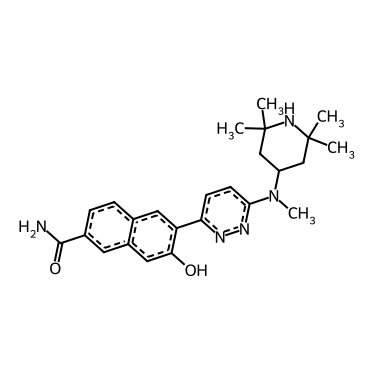 CN(c1ccc(-c2cc3ccc(C(N)=O)cc3cc2O)nn1)C1CC(C)(C)NC(C)(C)C1